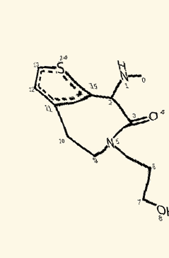 CNC1C(=O)N(CCO)CCc2ccsc21